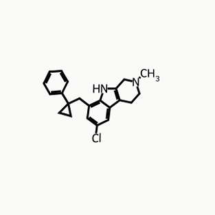 CN1CCc2c([nH]c3c(CC4(c5ccccc5)CC4)cc(Cl)cc23)C1